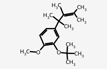 COc1ccc(C(C)(C)C(C)=C(C)C)cc1OC(C)(C)C